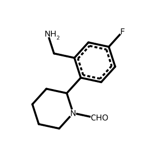 NCc1cc(F)ccc1C1CCCCN1C=O